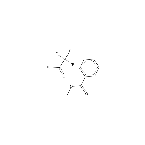 COC(=O)c1ccccc1.O=C(O)C(F)(F)F